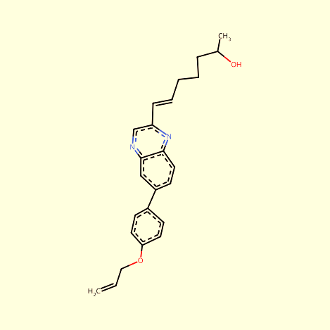 C=CCOc1ccc(-c2ccc3nc(C=CCCCC(C)O)cnc3c2)cc1